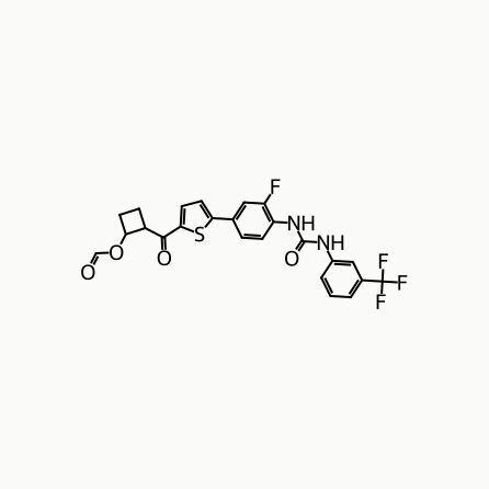 O=COC1CCC1C(=O)c1ccc(-c2ccc(NC(=O)Nc3cccc(C(F)(F)F)c3)c(F)c2)s1